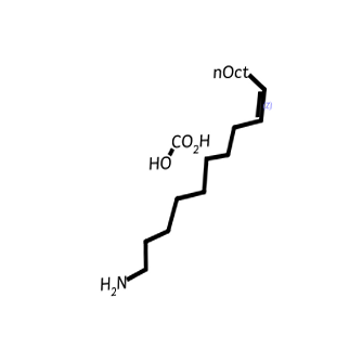 CCCCCCCC/C=C\CCCCCCCCN.O=C(O)O